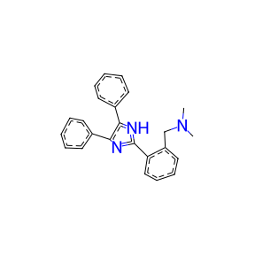 CN(C)Cc1ccccc1-c1nc(-c2ccccc2)c(-c2ccccc2)[nH]1